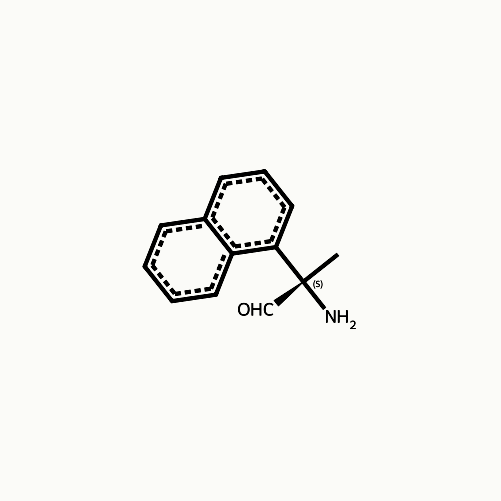 C[C@@](N)(C=O)c1cccc2ccccc12